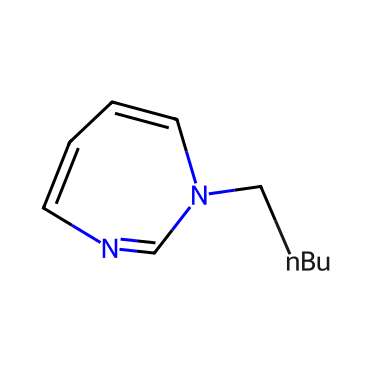 CCCCCN1C=CC=CN=C1